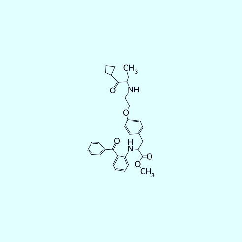 CCC(NCCOc1ccc(CC(Nc2ccccc2C(=O)c2ccccc2)C(=O)OC)cc1)C(=O)C1CCC1